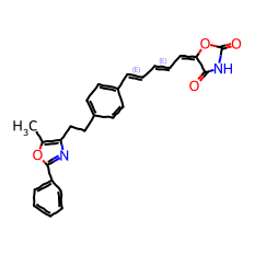 Cc1oc(-c2ccccc2)nc1CCc1ccc(/C=C/C=C/C=C2OC(=O)NC2=O)cc1